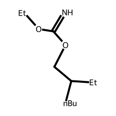 CCCCC(CC)COC(=N)OCC